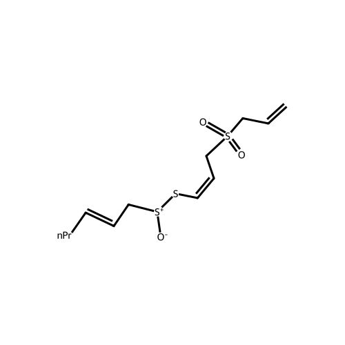 C=CCS(=O)(=O)C/C=C\S[S+]([O-])C/C=C/CCC